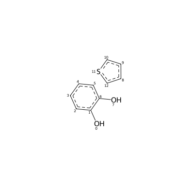 Oc1ccccc1O.c1ccsc1